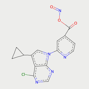 O=NOC(=O)c1ccnc(-n2cc(C3CC3)c3c(Cl)ncnc32)c1